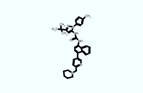 Cc1ccc(-n2nc(C(C)(C)C)cc2NC(=O)Nc2ccc(-c3ccc(CN4CCCCC4)nc3)c3ccccc23)cc1